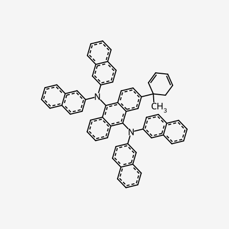 CC1(c2ccc3c(N(c4ccc5ccccc5c4)c4ccc5ccccc5c4)c4ccccc4c(N(c4ccc5ccccc5c4)c4ccc5ccccc5c4)c3c2)C=CC=CC1